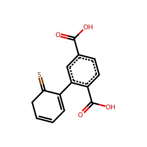 O=C(O)c1ccc(C(=O)O)c(C2=CC=CCC2=S)c1